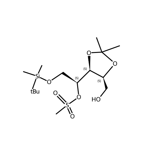 CC1(C)O[C@H]([C@H](CO[Si](C)(C)C(C)(C)C)OS(C)(=O)=O)[C@H](CO)O1